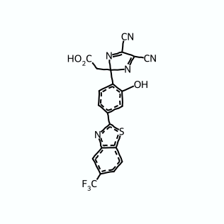 N#CC1=NC(CC(=O)O)(c2ccc(-c3nc4cc(C(F)(F)F)ccc4s3)cc2O)N=C1C#N